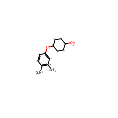 O=[N+]([O-])c1ccc(OC2CCC(O)CC2)cc1C(F)(F)F